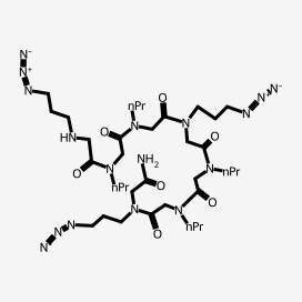 CCCN(CC(=O)N(CCC)CC(=O)N(CCCN=[N+]=[N-])CC(=O)N(CCC)CC(=O)N(CCC)CC(=O)N(CCCN=[N+]=[N-])CC(N)=O)C(=O)CNCCCN=[N+]=[N-]